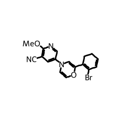 COc1ncc(N2C=COC(C3=C(Br)C=CCC3)=C2)cc1C#N